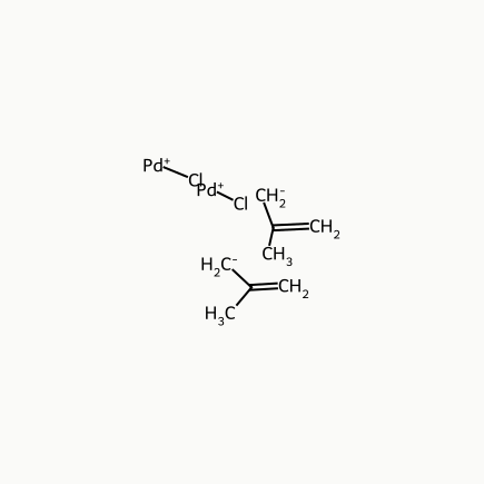 C=C([CH2-])C.C=C([CH2-])C.[Cl][Pd+].[Cl][Pd+]